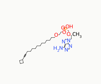 C[C@H](Cn1cnc2c(N)ncnc21)OCP(=O)(O)OCCOCCCCCCCCCCCCC#CC1CCC1